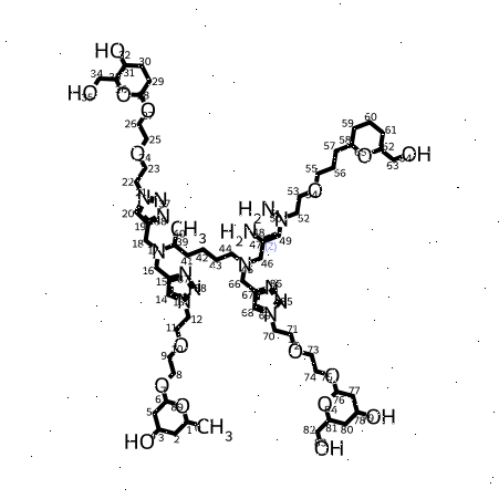 CC1CC(O)CC(OCCOCCn2cc(CN(Cc3cn(CCOCCOC4CCC(O)C(CO)O4)nn3)C(C)CCCCN(C/C(N)=C/N(N)CCOCCCC3CCCC(CO)O3)Cc3cn(CCOCCOC4CC(O)CC(CO)O4)nn3)nn2)O1